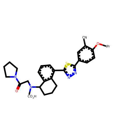 CC(C)Oc1ccc(-c2nnc(-c3cccc4c3CCCC4N(CC(=O)N3CCCC3)C(=O)O)s2)cc1C#N